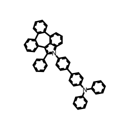 c1ccc(-c2c3c4c(cccc4n2-c2ccc(-c4ccc(N(c5ccccc5)c5ccccc5)cc4)cc2)-c2ccccc2-c2ccccc2-3)cc1